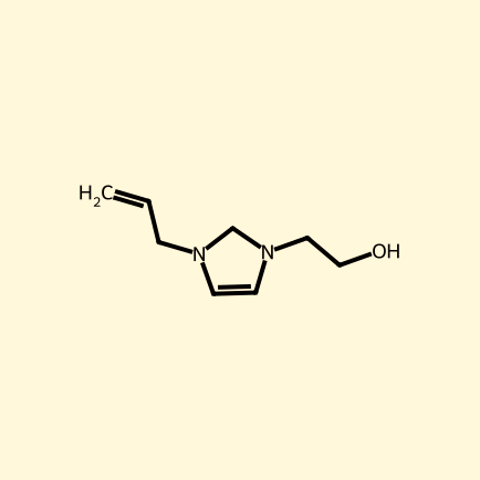 C=CCN1C=CN(CCO)C1